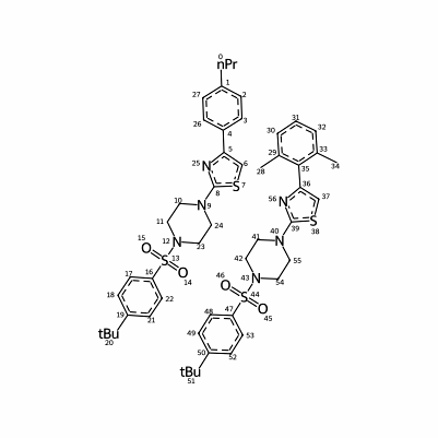 CCCc1ccc(-c2csc(N3CCN(S(=O)(=O)c4ccc(C(C)(C)C)cc4)CC3)n2)cc1.Cc1cccc(C)c1-c1csc(N2CCN(S(=O)(=O)c3ccc(C(C)(C)C)cc3)CC2)n1